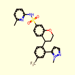 Cc1cccc(NS(=O)(=O)c2ccc3c(c2)OCCC3c2ccc(C(F)(F)F)cc2-c2ccnn2C)n1